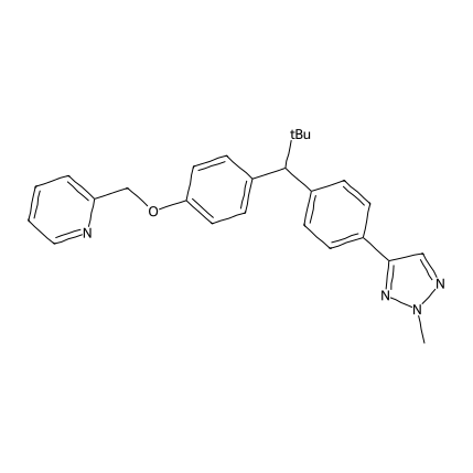 Cn1ncc(-c2ccc(C(c3ccc(OCc4ccccn4)cc3)C(C)(C)C)cc2)n1